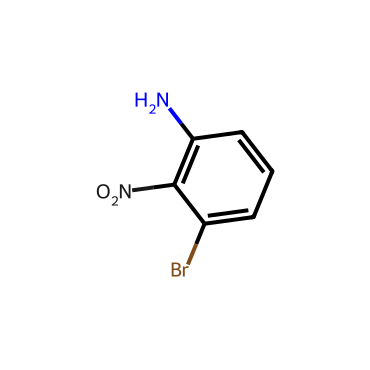 Nc1cccc(Br)c1[N+](=O)[O-]